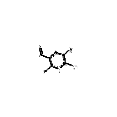 Cc1nc(Cl)c(C=O)cc1Br